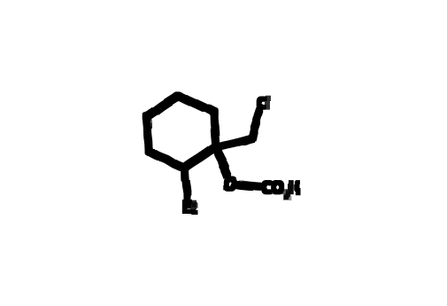 CCC1CCCCC1(CCl)OC(=O)O